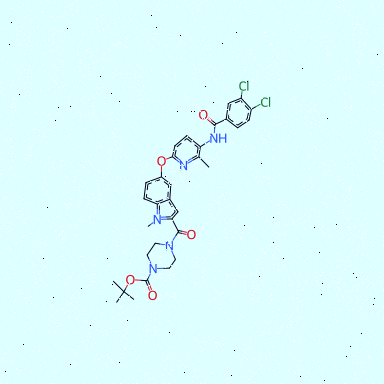 Cc1nc(Oc2ccc3c(c2)cc(C(=O)N2CCN(C(=O)OC(C)(C)C)CC2)n3C)ccc1NC(=O)c1ccc(Cl)c(Cl)c1